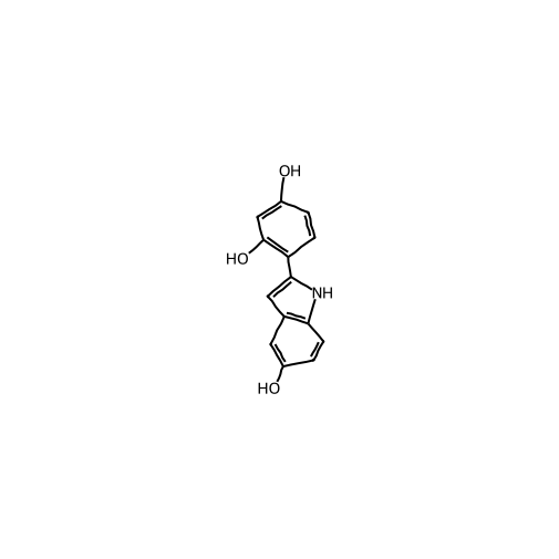 Oc1ccc(-c2cc3cc(O)ccc3[nH]2)c(O)c1